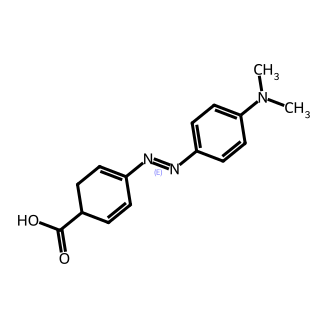 CN(C)c1ccc(/N=N/C2=CCC(C(=O)O)C=C2)cc1